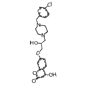 O=c1cc(O)c2ccc(OCC(O)CN3CCN(Cc4ccc(Cl)cc4)CC3)cc2o1